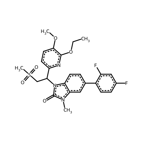 CCOc1nc(C(CS(C)(=O)=O)n2c(=O)n(C)c3cc(-c4ccc(F)cc4F)ccc32)ccc1OC